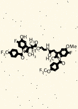 CCC(C)(C(=O)OCCNC(=O)Cc1c(C)n(C(=O)c2ccc(OC(F)(F)F)cc2)c2cc(F)c(OC)cc12)c1c(C)n(C(=O)c2ccc(C(F)(F)F)cc2)c2cc(F)c(O)cc12